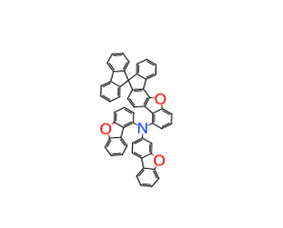 c1ccc2c(c1)-c1ccccc1C21c2ccccc2-c2c1ccc1c2oc2cccc(N(c3ccc4c(c3)oc3ccccc34)c3cccc4oc5ccccc5c34)c21